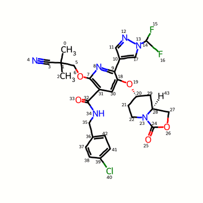 CC(C)(C#N)COc1nc(-c2cnn(C(F)F)c2)c(O[C@H]2CCN3C(=O)OC[C@@H]3C2)cc1C(=O)NCc1ccc(Cl)cc1